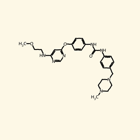 COCCNc1cc(Oc2ccc(NC(=O)Nc3ccc(CN4CCN(C)CC4)cc3)cc2)ncn1